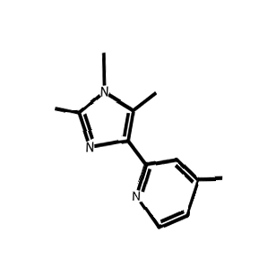 Cc1ccnc(-c2nc(C)n(C)c2C)c1